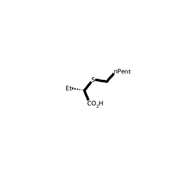 CCCCCCS[C@@H](CC)C(=O)O